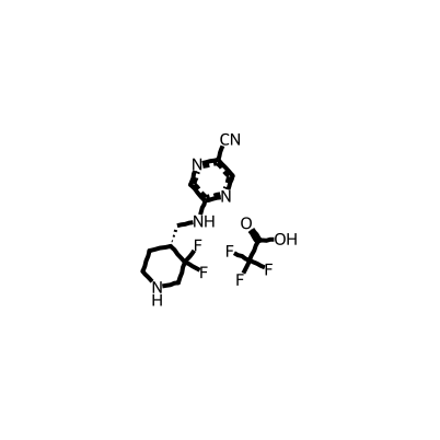 N#Cc1cnc(NC[C@H]2CCNCC2(F)F)cn1.O=C(O)C(F)(F)F